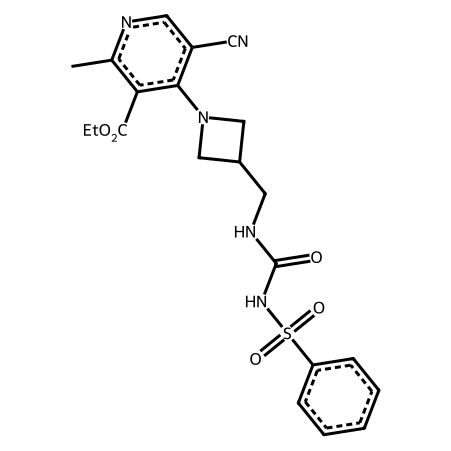 CCOC(=O)c1c(C)ncc(C#N)c1N1CC(CNC(=O)NS(=O)(=O)c2ccccc2)C1